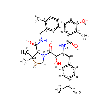 Cc1ccccc1CNC(=O)C1N(C(=O)[C@@H](O)[C@H](Cc2ccc(C(C)C)cc2)NC(=O)c2cccc(O)c2C)CSC1(C)C